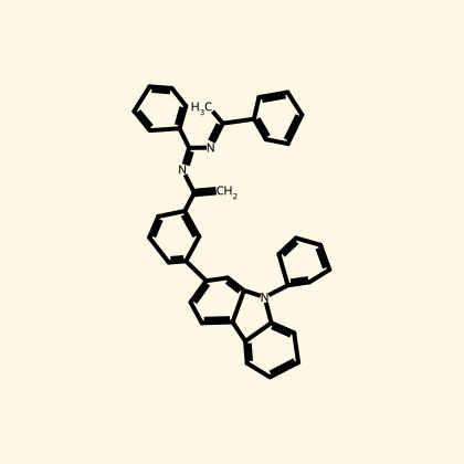 C=C(/N=C(\N=C(/C)c1ccccc1)c1ccccc1)c1cccc(-c2ccc3c4ccccc4n(-c4ccccc4)c3c2)c1